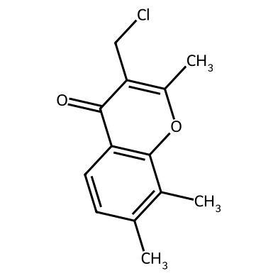 Cc1ccc2c(=O)c(CCl)c(C)oc2c1C